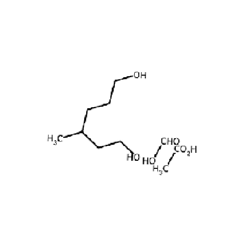 CC(=O)O.CC(CCO)CCCO.O=CO